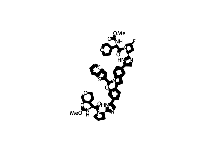 COC(=O)N[C@H](C(=O)N1C[C@@H](F)C[C@@H]1c1ncc(-c2ccc3c(c2)cc2n3C(c3cc4ccccc4s3)Oc3cc(-c4cnc([C@@H]5CCCN5C(=O)[C@@H](NC(=O)OC)C5CCOCC5)[nH]4)ccc3-2)[nH]1)C1CCOCC1